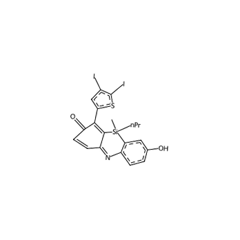 CCC[Si]1(C)C2=C(c3cc(I)c(I)s3)C(=O)C=CC2=Nc2ccc(O)cc21